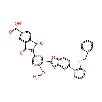 COc1ccc(N2C(=O)c3ccc(C(=O)O)cc3C2=O)cc1-c1nc2cc(-c3ccccc3SCc3ccccc3)ccc2o1